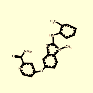 CNC(=O)c1cc(Oc2ccc3c(c2)nc(Nc2ccccc2C)n3C)ccn1